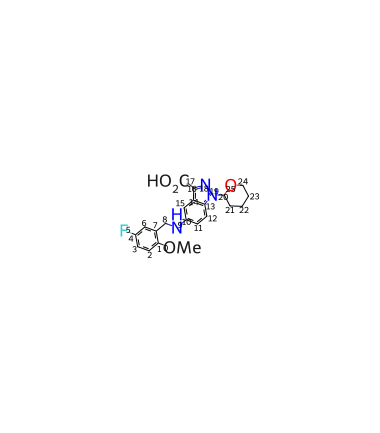 COc1ccc(F)cc1CNc1ccc2c(c1)c(C(=O)O)nn2C1CCCCO1